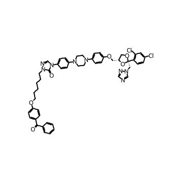 O=C(c1ccccc1)c1ccc(OCCCCCCn2ncn(-c3ccc(N4CCN(c5ccc(OC[C@@H]6CO[C@@](Cn7cncn7)(c7ccc(Cl)cc7Cl)O6)cc5)CC4)cc3)c2=O)cc1